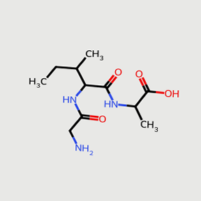 CCC(C)C(NC(=O)CN)C(=O)NC(C)C(=O)O